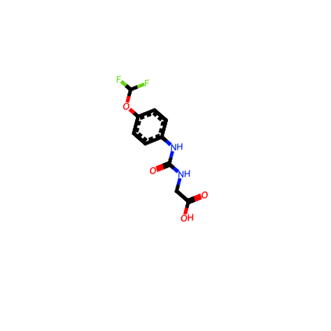 O=C(O)CNC(=O)Nc1ccc(OC(F)F)cc1